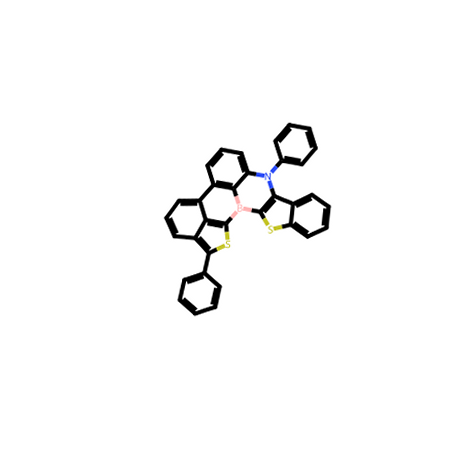 c1ccc(-c2sc3c4c(cccc24)-c2cccc4c2B3c2sc3ccccc3c2N4c2ccccc2)cc1